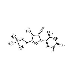 C=C1NC(=O)NC=C1[C@@H]1OC(CCP(=C)(C)C)[C@@H](O)[C@H]1Cl